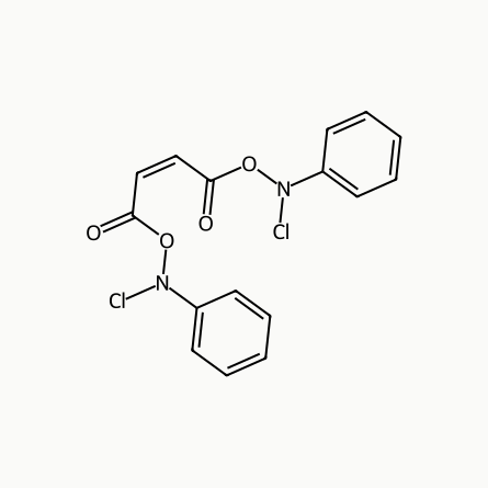 O=C(/C=C\C(=O)ON(Cl)c1ccccc1)ON(Cl)c1ccccc1